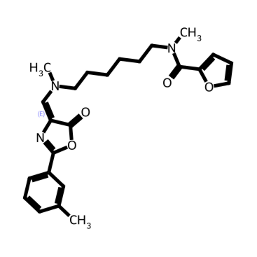 Cc1cccc(C2=N/C(=C/N(C)CCCCCCN(C)C(=O)c3ccco3)C(=O)O2)c1